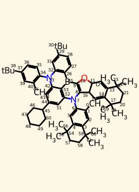 Cc1cc2c(cc1N1C3=C(OC4C=C5C(=CC34)C(C)(C)CCC5(C)C)B3c4ccc(C(C)(C)C)cc4N(c4ccc(C(C)(C)C)cc4C)c4cc(C5CCCCC5)cc1c43)C(C)(C)CCC2(C)C